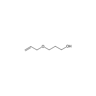 C=CCOCCCO